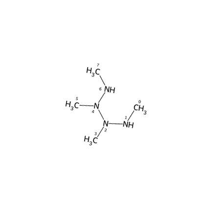 CNN(C)N(C)NC